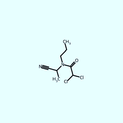 CCCN(C(=O)C(Cl)Cl)C(C)C#N